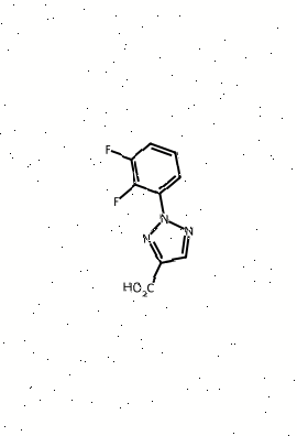 O=C(O)c1cnn(-c2cccc(F)c2F)n1